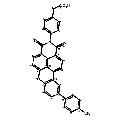 O=C(O)Cc1ccc(-n2c(=O)c3ccc4oc5ccc(-c6ccc(C(F)(F)F)cc6)cc5c5ccc(c2=O)c3c45)cc1